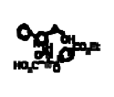 CCOC(=O)N1CCN(C(=O)[C@H](CCC(=O)O)NC(=O)c2cc(C3CC3CO)cc(-c3ccccc3)n2)CC1